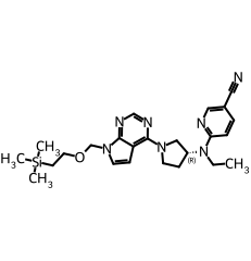 CCN(c1ccc(C#N)cn1)[C@@H]1CCN(c2ncnc3c2ccn3COCC[Si](C)(C)C)C1